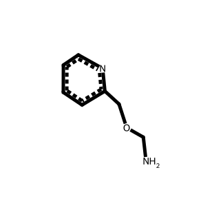 NCOCc1ccccn1